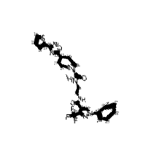 O=C(NCCNC(=O)N1CCC(c2nc(-c3cccs3)no2)CC1)c1cn(-c2ccccc2)nc1C(F)(F)F